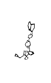 O=C(NCC1CC1)c1cccc(N2CCCN(C3CCN([C@@H]4CCc5ccccc54)CC3)CC2)n1